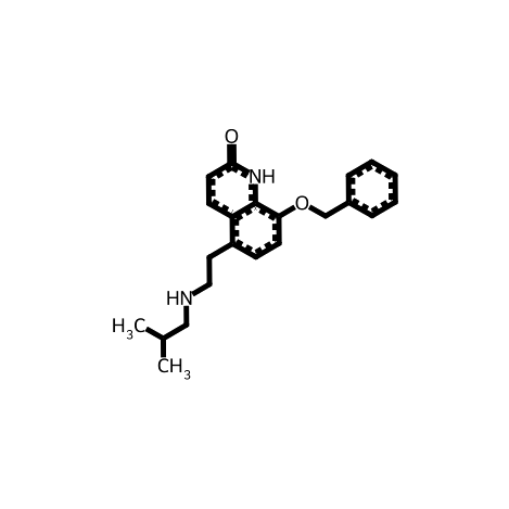 CC(C)CNCCc1ccc(OCc2ccccc2)c2[nH]c(=O)ccc12